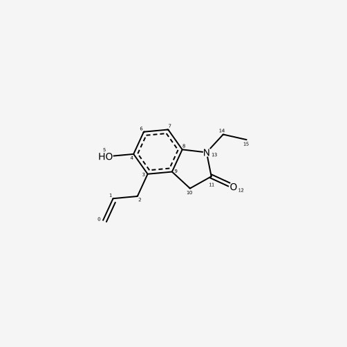 C=CCc1c(O)ccc2c1CC(=O)N2CC